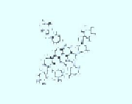 c1ccc(Oc2cccc(-c3cc(-c4cccc(Oc5ccccc5)c4)c4ccc5c(-c6cccc(Oc7ccccc7)c6)cc(-c6cccc(Oc7ccccc7)c6)c6ccc3c4c65)c2)cc1